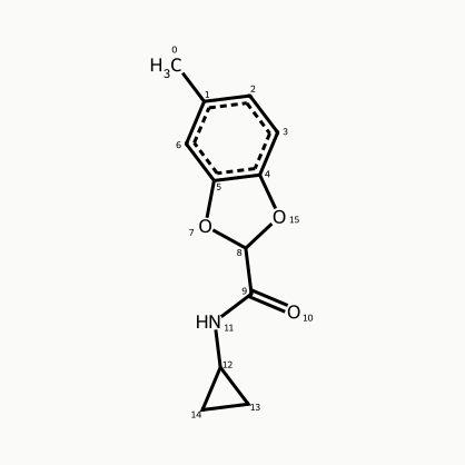 Cc1ccc2c(c1)OC(C(=O)NC1CC1)O2